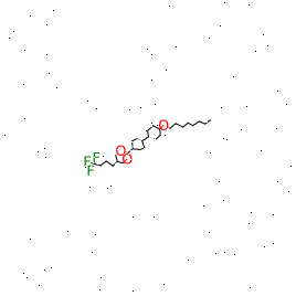 CCCCCCCCO[C@H]1CC[C@H]([C@H]2CC[C@H]([C@H]3OC[C@H](CCCC(F)(F)F)CO3)CC2)CC1